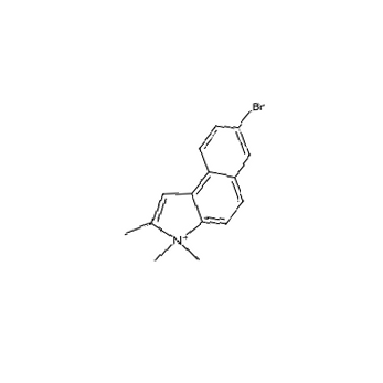 CC1=Cc2c(ccc3cc(Br)ccc23)[N+]1(C)C